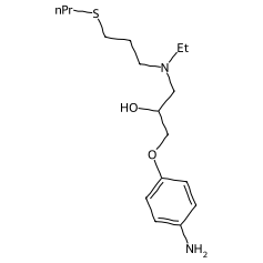 CCCSCCCN(CC)CC(O)COc1ccc(N)cc1